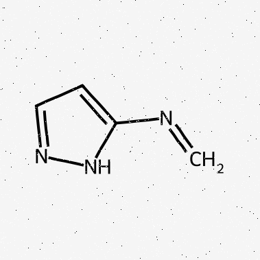 C=Nc1ccn[nH]1